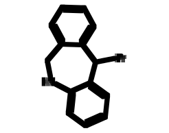 CC(C)C1c2ccccc2CNc2ccccc21